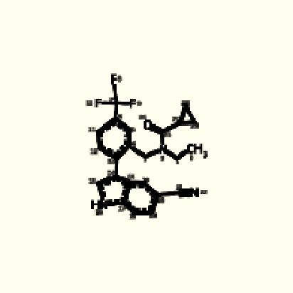 CCN(Cc1cc(C(F)(F)F)ccc1-c1c[nH]c2ccc(C#N)cc12)C(=O)C1CC1